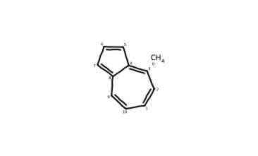 C.c1ccc2cccc-2cc1